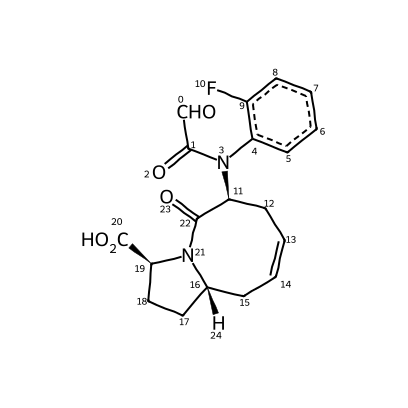 O=CC(=O)N(c1ccccc1F)[C@H]1C/C=C\C[C@@H]2CC[C@@H](C(=O)O)N2C1=O